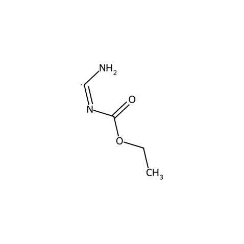 CCOC(=O)/N=[C]\N